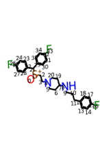 [O-][S+](CCN1CCC(NCCCc2ccc(F)cc2)CC1)C(c1ccc(F)cc1)c1ccc(F)cc1